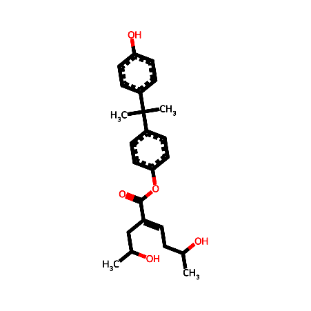 CC(O)CC=C(CC(C)O)C(=O)Oc1ccc(C(C)(C)c2ccc(O)cc2)cc1